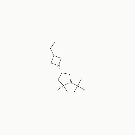 CCC1CN([C@@H]2CN(C(C)(C)C)C(C)(C)C2)C1